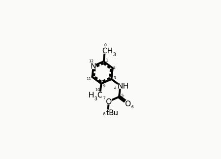 Cc1cc(NC(=O)OC(C)(C)C)c(C)cn1